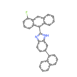 Fc1cccc2c(-c3nc4ccc(-c5cccc6ccccc56)cc4[nH]3)c3ccccc3cc12